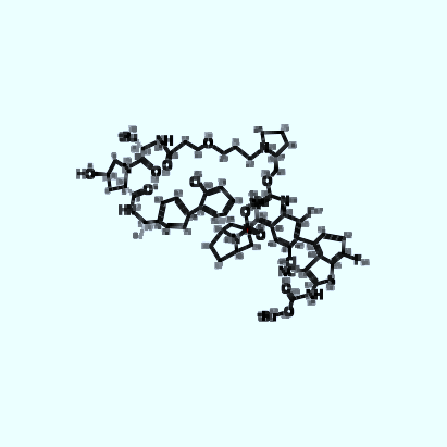 C[C@H](NC(=O)[C@@H]1C[C@@H](O)CN1C(=O)[C@@H](NC(=O)CCOCCCN1CCC[C@H]1COc1nc(N2CC3CCC(C2)N3C(=O)OC(C)(C)C)c2cc(Cl)c(-c3ccc(F)c4sc(NC(=O)OC(C)(C)C)c(C#N)c34)c(F)c2n1)C(C)(C)C)c1ccc(-c2ccccc2Cl)cc1